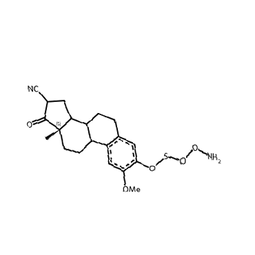 COc1cc2c(cc1OSOON)CCC1C2CC[C@]2(C)C(=O)C(C#N)CC12